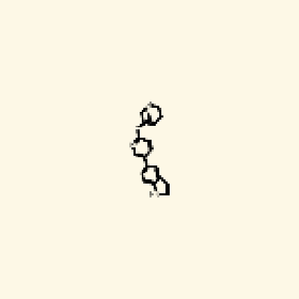 c1cc2cc(-c3ccc(OC4CN5CCC4CC5)nc3)ccc2[nH]1